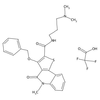 CN(C)CCCNC(=O)c1sc2c(c1OCc1ccccc1)c(=O)n(C)c1ccccc21.O=C(O)C(F)(F)F